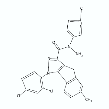 Cc1ccc2c(c1)Cc1c(C(=O)N(N)c3ccc(Cl)cc3)nn(-c3ccc(Cl)cc3Cl)c1-2